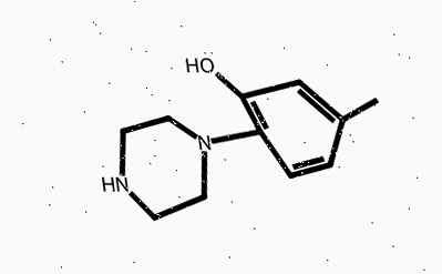 Cc1ccc(N2CCNCC2)c(O)c1